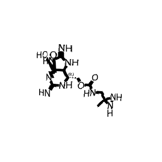 CC1(CNC(=O)OC[C@@H]2NC(=N)N3CCC(O)(O)C34NC(=N)NC24)NN1